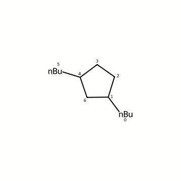 CCCCC1CCC(CCCC)C1